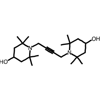 CC1(C)CC(O)CC(C)(C)N1CC#CCN1C(C)(C)CC(O)CC1(C)C